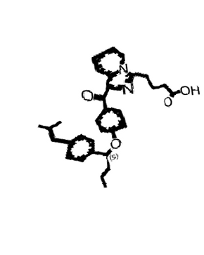 CCC[C@H](Oc1ccc(C(=O)c2nc(CCCC(=O)O)n3ccccc23)cc1)c1ccc(CC(C)C)cc1